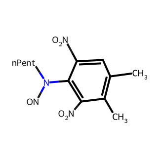 CCCCCN(N=O)c1c([N+](=O)[O-])cc(C)c(C)c1[N+](=O)[O-]